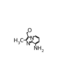 Cc1nc2c(N)cccn2c1C=O